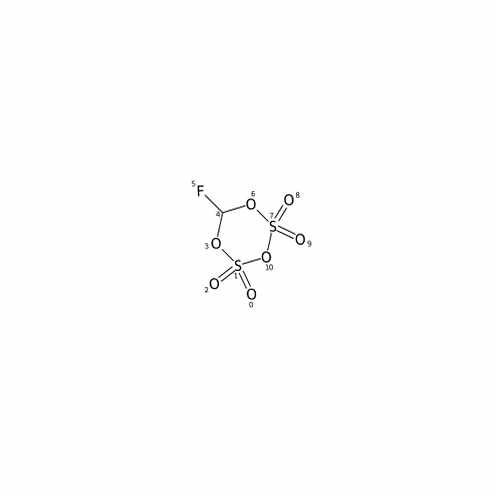 O=S1(=O)OC(F)OS(=O)(=O)O1